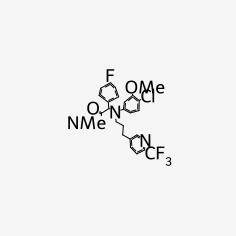 CNC(=O)[C@H](c1ccc(F)cc1)N(CCCc1ccc(C(F)(F)F)nc1)c1ccc(Cl)c(OC)c1